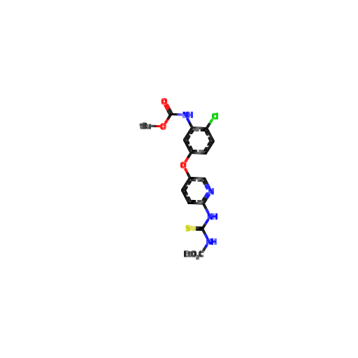 CCOC(=O)NC(=S)Nc1ccc(Oc2ccc(Cl)c(NC(=O)OC(C)(C)C)c2)cn1